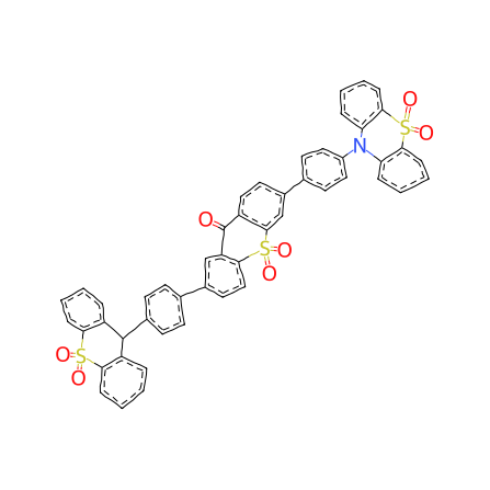 O=C1c2cc(-c3ccc(C4c5ccccc5S(=O)(=O)c5ccccc54)cc3)ccc2S(=O)(=O)c2cc(-c3ccc(N4c5ccccc5S(=O)(=O)c5ccccc54)cc3)ccc21